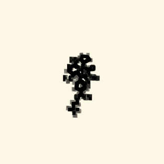 CC(C)(C)OC(=O)NC1CCC[C@@H]1Nc1ncc(C(F)(F)F)c(-c2c[nH]c3cc(C(C#N)OCC[Si](C)(C)C)ccc23)n1